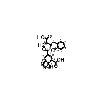 O=C(N[C@H](Cc1ccccc1Cl)[C@@H](O)C(=O)O)c1cc(C(=O)O)c2[nH]nnc2c1